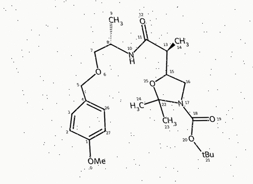 COc1ccc(COC[C@H](C)NC(=O)[C@@H](C)C2CN(C(=O)OC(C)(C)C)C(C)(C)O2)cc1